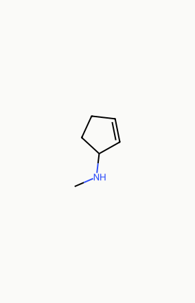 CNC1C=CCC1